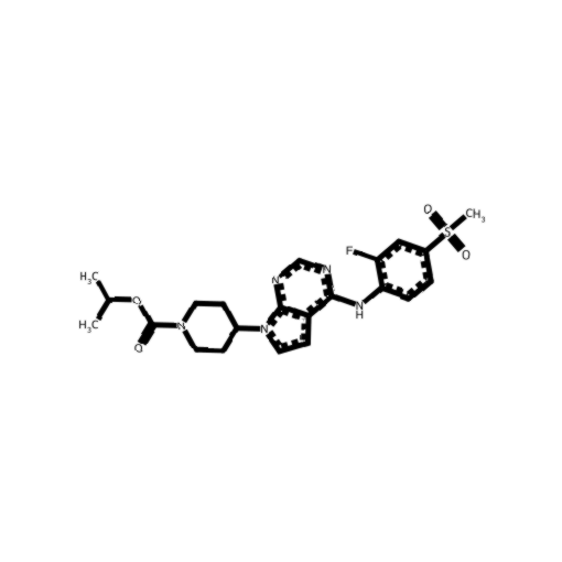 CC(C)OC(=O)N1CCC(n2ccc3c(Nc4ccc(S(C)(=O)=O)cc4F)ncnc32)CC1